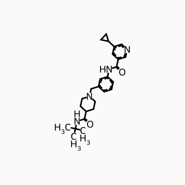 CC(C)(C)NC(=O)C1CCN(Cc2cccc(NC(=O)c3cncc(C4CC4)c3)c2)CC1